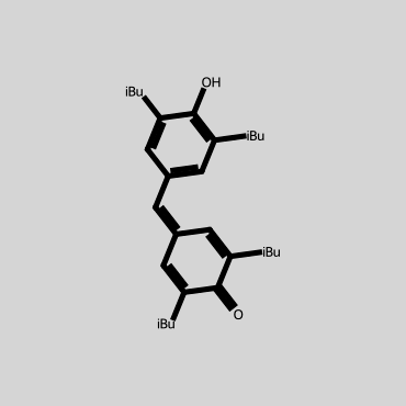 CCC(C)C1=CC(=Cc2cc(C(C)CC)c(O)c(C(C)CC)c2)C=C(C(C)CC)C1=O